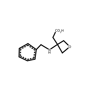 O=C(O)CC1(NCc2ccccc2)COC1